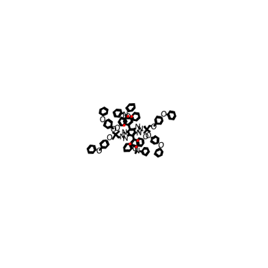 CN(c1ccccc1)c1ccc(-c2c3nn(CC(COc4ccc(Oc5ccccc5)cc4)(COc4ccc(Oc5ccccc5)cc4)COc4ccc(Oc5ccccc5)cc4)nc3c(-c3ccc(N(c4ccccc4)c4ccccc4)cc3)c3n[n+](CC(COc4ccc(Oc5ccccc5)cc4)(COc4ccc(Oc5ccccc5)cc4)COc4ccc(Oc5ccccc5)cc4)[n-]c23)cc1